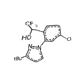 CC(C)(C)c1ccn(-c2cc(Cl)ccc2C(O)C(F)(F)F)n1